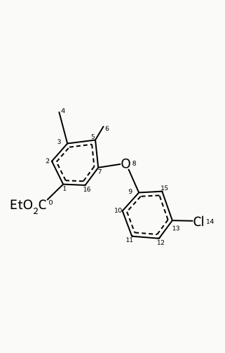 CCOC(=O)c1cc(C)c(C)c(Oc2cccc(Cl)c2)c1